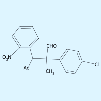 CC(=O)C(c1ccccc1[N+](=O)[O-])C(C)(C=O)c1ccc(Cl)cc1